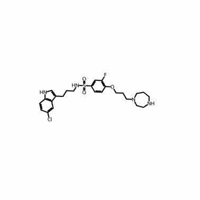 O=S(=O)(NCCCc1c[nH]c2ccc(Cl)cc12)c1ccc(OCCCN2CCCNCC2)c(F)c1